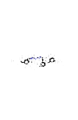 C=C(/C=C/C=C/C=C1\N(C)C2=C(C=C(CC(=O)OCC)CC2)C1(C)C)C(C)(C)c1cc(CC(=O)OCC)ccc1NCc1cc([N+](=O)[O-])cc([N+](=O)[O-])c1